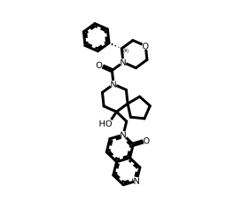 O=C(N1CCC(O)(Cn2ccc3ccncc3c2=O)C2(CCCC2)C1)N1CCOC[C@H]1c1ccccc1